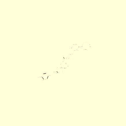 CC1CCC(C2CCCCCC2)NC1CCNC(=O)[C@@H]1C[C@H](NC(=O)COc2ccc(Cl)c(F)c2)C2CC1C2